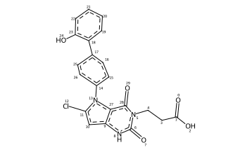 O=C(O)CCn1c(=O)[nH]c2cc(Cl)n(-c3ccc(-c4ccccc4O)cc3)c2c1=O